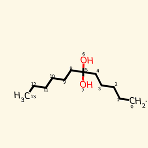 [CH2]CCCCC(O)(O)CCCCCC